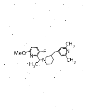 COc1ccc(F)c(C(C)N2CCCC(Cc3cc(C)nc(C)c3)C2)n1